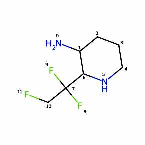 NC1CCCNC1C(F)(F)CF